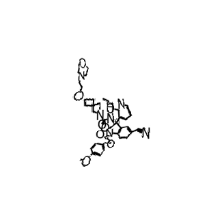 CCOc1ncccc1[C@]1(NC(=O)N2CC3(CC(OCCN4CCOCC4)C3)C2)C(=O)N(S(=O)(=O)c2ccc(OC)cc2)c2ccc(C#N)cc21